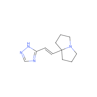 C(=CC12CCCN1CCC2)c1ncn[nH]1